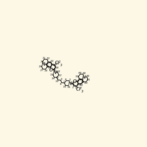 FC(F)(F)c1cc(=[N+]2CCC(CCCC3CC[N+](=c4cc(C(F)(F)F)c5cc6c7c(c5o4)CCCN7CCC6)CC3)CC2)oc2c3c4c(cc12)CCCN4CCC3